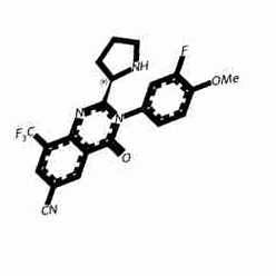 COc1ccc(-n2c([C@H]3CCCN3)nc3c(C(F)(F)F)cc(C#N)cc3c2=O)cc1F